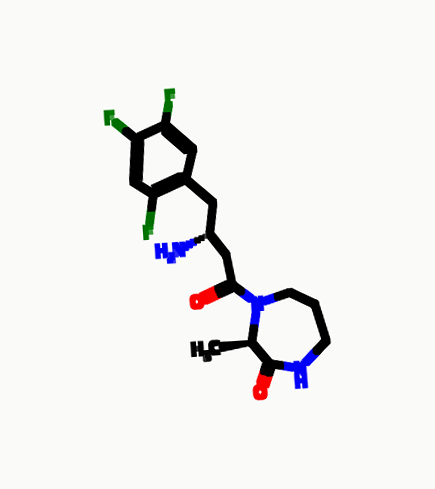 C[C@@H]1C(=O)NCCCN1C(=O)C[C@H](N)Cc1cc(F)c(F)cc1F